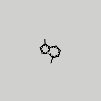 Ic1cnn2c(I)cccc12